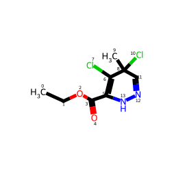 CCOC(=O)C1=C(Cl)C(C)(Cl)C=NN1